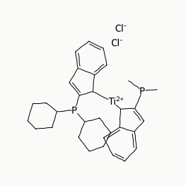 CP(C)C1=Cc2ccccc2[CH]1[Ti+2][CH]1C(P(C2CCCCC2)C2CCCCC2)=Cc2ccccc21.[Cl-].[Cl-]